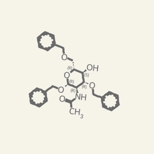 CC(=O)N[C@H]1[C@H](OCc2ccccc2)O[C@H](COCc2ccccc2)[C@@H](O)[C@@H]1OCc1ccccc1